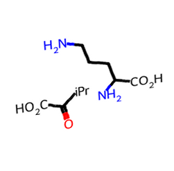 CC(C)C(=O)C(=O)O.NCCCC(N)C(=O)O